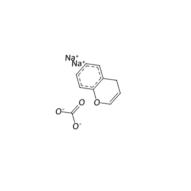 C1=COc2ccccc2C1.O=C([O-])[O-].[Na+].[Na+]